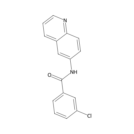 O=C(Nc1ccc2ncccc2c1)c1cccc(Cl)c1